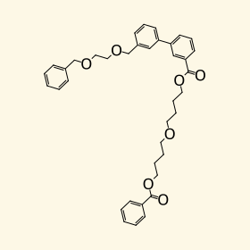 O=C(OCCCCOCCCCOC(=O)c1cccc(-c2cccc(COCCOCc3ccccc3)c2)c1)c1ccccc1